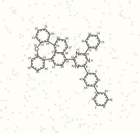 c1ccc(-c2ccc(-c3nc(-c4ccccc4)nc(-c4ccc5c6c(cccc46)-c4ccccc4Oc4ccccc4-5)n3)cc2)cc1